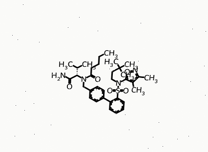 CCCCC(=O)N(Cc1ccc(-c2ccccc2S(=O)(=O)N(CCC(C)(C)C)c2onc(C)c2C)cc1)[C@H](C(N)=O)C(C)C